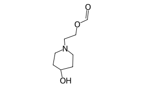 O=COCCN1CCC(O)CC1